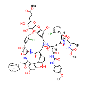 CCOc1ccc(NC(=O)NC(=O)C[C@@H]2CC(=O)[C@H](NC(=O)[C@@H](CC(C)C)N(C)C(=O)OC(C)(C)C)[C@H](O)c3ccc(c(Cl)c3)Oc3cc4cc(c3O[C@@H]3O[C@H](CCC(=O)OC(C)(C)C)[C@@H](O)[C@H](O)[C@H]3O)Oc3ccc(cc3Cl)[C@@H](O)[C@@H]3NC(=O)[C@H](CC(=O)C4NC2=O)c2ccc(O)c(c2)-c2c(O)cc(O)cc2[C@@H](C(=O)CC2C4CC5CC(C4)CC2C5)NC3=O)cc1